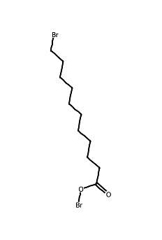 O=C(CCCCCCCCCCBr)OBr